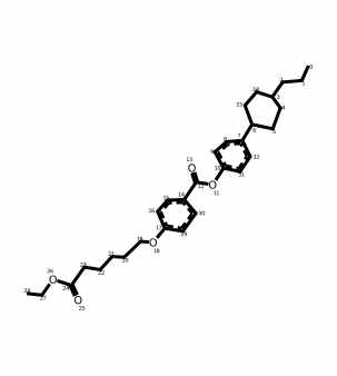 CCCC1CCC(c2ccc(OC(=O)c3ccc(OCCCCCC(=O)OCC)cc3)cc2)CC1